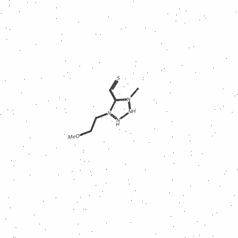 COCCN1NNN(C)C1C=S